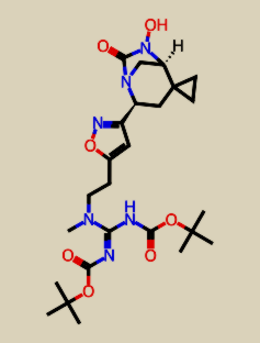 CN(CCc1cc([C@@H]2CC3(CC3)[C@H]3CN2C(=O)N3O)no1)/C(=N\C(=O)OC(C)(C)C)NC(=O)OC(C)(C)C